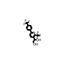 OCC(O)c1ccc(-c2ccc(C(F)(F)F)cc2)nc1C(F)(F)F